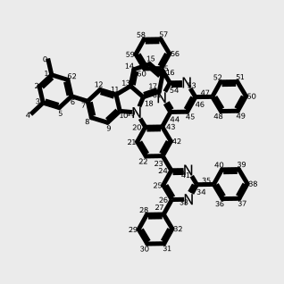 Cc1cc(C)cc(-c2ccc3c(c2)c2ccccc2n3-c2ccc(-c3cc(-c4ccccc4)nc(-c4ccccc4)n3)cc2-c2cc(-c3ccccc3)nc(-c3ccccc3)n2)c1